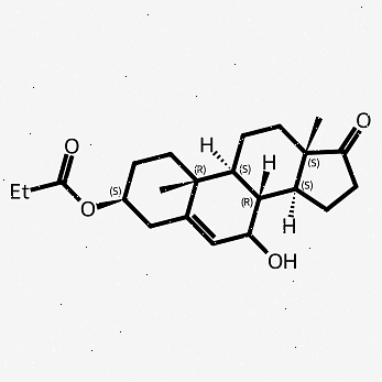 CCC(=O)O[C@H]1CC[C@@]2(C)C(=CC(O)[C@@H]3[C@@H]2CC[C@]2(C)C(=O)CC[C@@H]32)C1